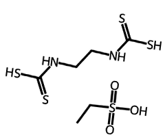 CCS(=O)(=O)O.S=C(S)NCCNC(=S)S